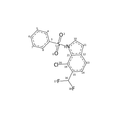 O=S(=O)(c1ccccc1)n1ccc2ccc(C(F)F)c(Cl)c21